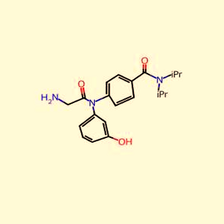 CC(C)N(C(=O)c1ccc(N(C(=O)CN)c2cccc(O)c2)cc1)C(C)C